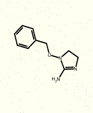 NC1=NCCN1OCc1ccccc1